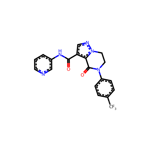 O=C(Nc1cccnc1)c1cnn2c1C(=O)N(c1ccc(C(F)(F)F)cc1)CC2